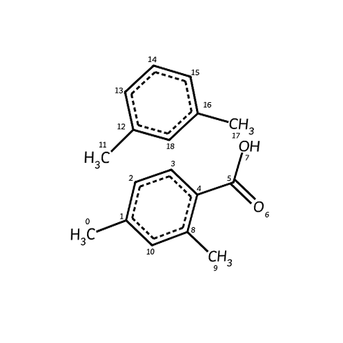 Cc1ccc(C(=O)O)c(C)c1.Cc1cccc(C)c1